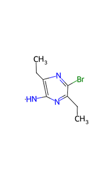 CCc1nc(Br)c(CC)nc1[NH]